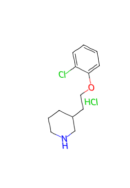 Cl.Clc1ccccc1OCCC1CCCNC1